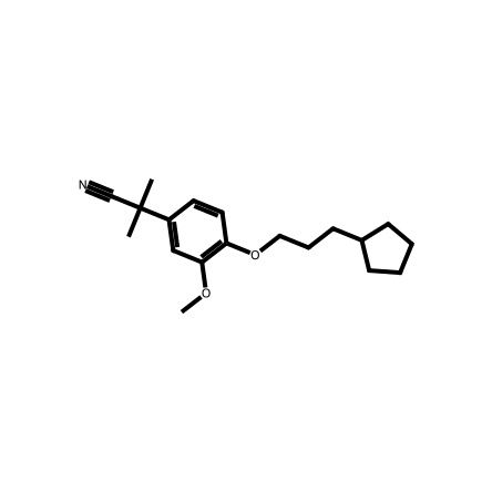 COc1cc(C(C)(C)C#N)ccc1OCCCC1CCCC1